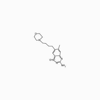 Cc1cc2nc(N)n[n+]([O-])c2cc1CCCCN1CCOCC1